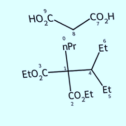 CCCC(C(=O)OCC)(C(=O)OCC)C(CC)CC.O=C(O)CC(=O)O